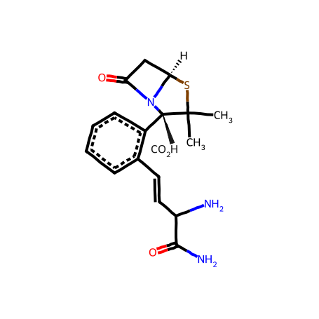 CC1(C)S[C@@H]2CC(=O)N2[C@@]1(C(=O)O)c1ccccc1/C=C/C(N)C(N)=O